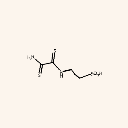 NC(=S)C(=S)NCCS(=O)(=O)O